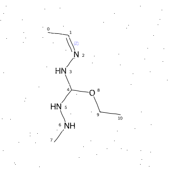 C/C=N\NC(NNC)OCC